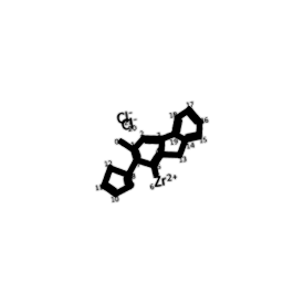 Cc1cc2c([c]([Zr+2])c1C1=CC=CC1)Cc1ccccc1-2.[Cl-].[Cl-]